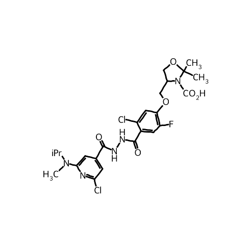 CC(C)N(C)c1cc(C(=O)NNC(=O)c2cc(F)c(OCC3COC(C)(C)N3C(=O)O)cc2Cl)cc(Cl)n1